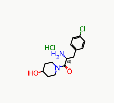 Cl.N[C@@H](Cc1ccc(Cl)cc1)C(=O)N1CCC(O)CC1